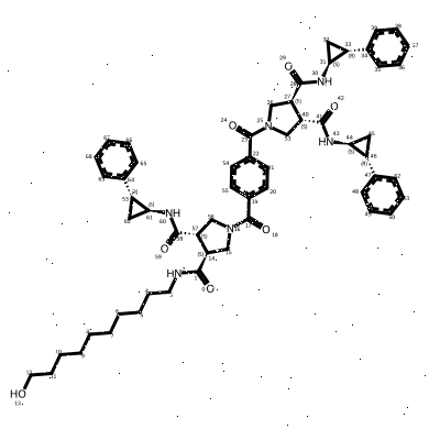 O=C(NCCCCCCCCCCO)[C@@H]1CN(C(=O)c2ccc(C(=O)N3C[C@@H](C(=O)N[C@H]4C[C@@H]4c4ccccc4)[C@H](C(=O)N[C@H]4C[C@@H]4c4ccccc4)C3)cc2)C[C@H]1C(=O)N[C@H]1C[C@@H]1c1ccccc1